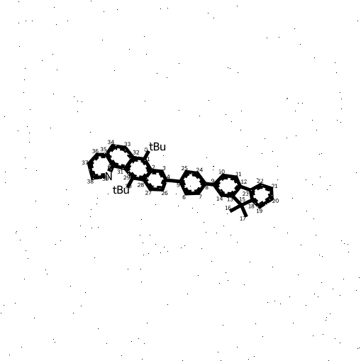 CC(C)(C)c1c2cc(-c3ccc(-c4ccc5c(c4)C(C)(C)c4ccccc4-5)cc3)ccc2c(C(C)(C)C)c2c1ccc1cccnc12